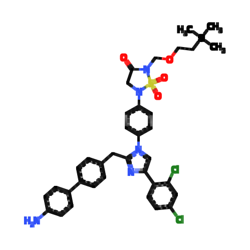 C[Si](C)(C)CCOCN1C(=O)CN(c2ccc(-n3cc(-c4ccc(Cl)cc4Cl)nc3Cc3ccc(-c4ccc(N)cc4)cc3)cc2)S1(=O)=O